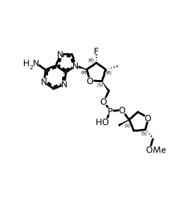 COC[C@@H]1C[C@](C)(OP(O)OC[C@H]2O[C@@H](n3cnc4c(N)ncnc43)[C@H](F)[C@@H]2C)CO1